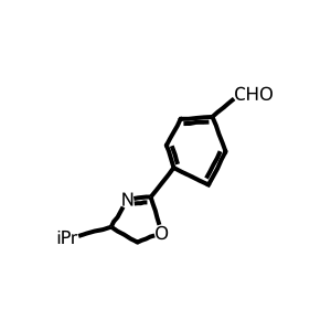 CC(C)C1COC(c2ccc(C=O)cc2)=N1